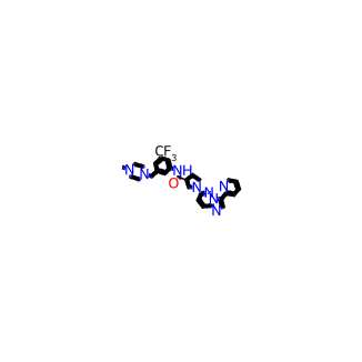 CN1CCN(Cc2cc(NC(=O)[C@H]3CCN(c4ccc5ncc(-c6ccccn6)n5n4)C3)cc(C(F)(F)F)c2)CC1